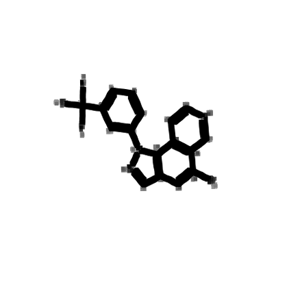 FC(F)(F)c1cccc(-n2ncc3cc(Br)c4cnccc4c32)c1